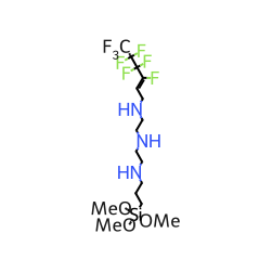 CO[Si](CCCNCCNCCNC/C=C(\F)C(F)(F)C(F)(F)C(F)(F)F)(OC)OC